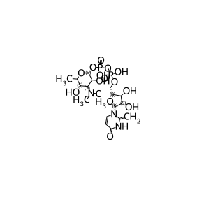 C=C1NC(=O)C=CN1[C@@H]1O[C@H](COP(=O)(O)OP(=O)(O)O[C@H]2OC(C)[C@@H](O)[C@H](N(C)C)C2O)C(O)[C@@H]1O